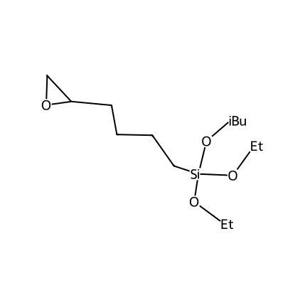 CCO[Si](CCCCC1CO1)(OCC)OC(C)CC